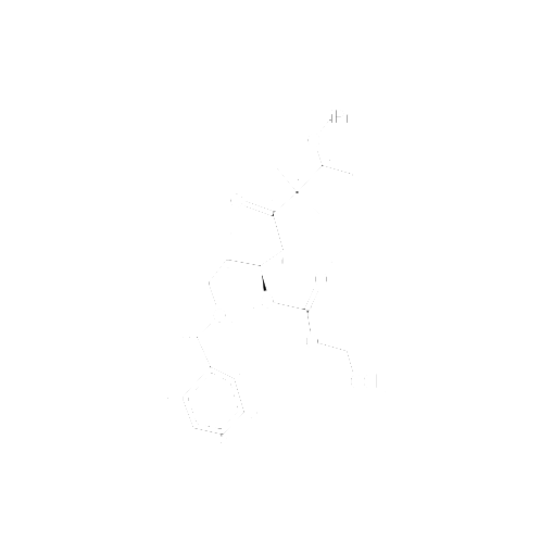 CC(C)OC(C)C(C)(C)C(=O)[C@H](C)[C@@H](OC(=O)OCC(Cl)(Cl)Cl)[C@@H](C)COCc1ccccc1